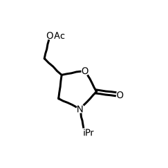 CC(=O)OCC1CN(C(C)C)C(=O)O1